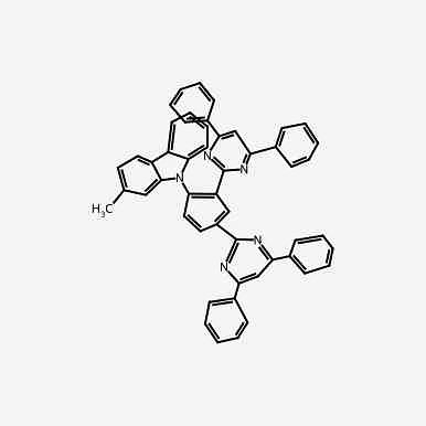 Cc1ccc2c3ccccc3n(-c3ccc(-c4nc(-c5ccccc5)cc(-c5ccccc5)n4)cc3-c3nc(-c4ccccc4)cc(-c4ccccc4)n3)c2c1